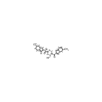 Cc1cc2nc(C(=O)N3CCN(S(=O)(=O)c4cc5cc(Cl)ccc5[nH]4)CC3)sc2cn1.I